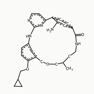 CC1CCNC(=O)c2ccc(c(N)c2)-c2ccnc(n2)Nc2ccc(OCC3CC3)c(c2)COC1